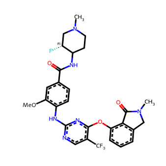 COc1cc(C(=O)NC2CCN(C)C[C@H]2F)ccc1Nc1ncc(C(F)(F)F)c(Oc2cccc3c2C(=O)N(C)C3)n1